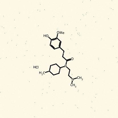 COc1cc(CCC(=O)N(CCN(C)C)C2CCC(C)CC2)ccc1O.Cl